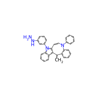 C=C1c2ccccc2N(c2ccccc2)/C=C\c2c1c1ccccc1n2-c1cccc(NN)c1